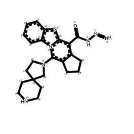 N=NNC(=O)c1c2c(c(N3CCC4(CCNCC4)C3)n3c1nc1ccccc13)CCC2